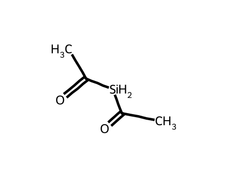 CC(=O)[SiH2]C(C)=O